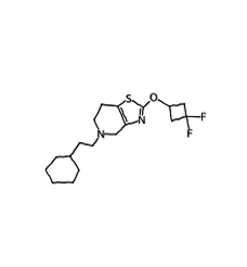 FC1(F)CC(Oc2nc3c(s2)CCN(CCC2CCCCC2)C3)C1